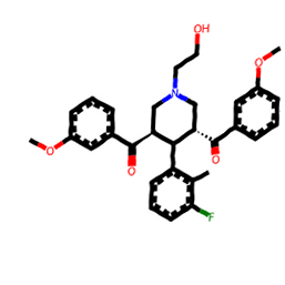 COc1cccc(C(=O)[C@H]2CN(CCO)C[C@H](C(=O)c3cccc(OC)c3)C2c2cccc(F)c2C)c1